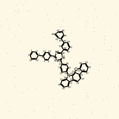 c1ccc(-c2ccc(-c3nc(-c4ccc(-n5c6ccccc6c6ccc7c8ccccc8oc7c65)cc4)nc(-c4cccc(-c5ccccc5)c4)n3)cc2)cc1